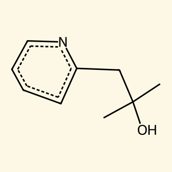 CC(C)(O)Cc1ccccn1